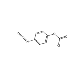 C=C=Nc1ccc(OC(=O)Cl)cc1